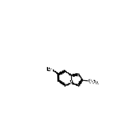 CC(=O)Oc1cc2cc(Br)ccn2c1